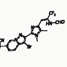 Cc1c(/C=C(\NC=O)C(F)(F)F)nc(-c2nn3cc(C4(C#N)CC4)ccc3c2Br)n1C